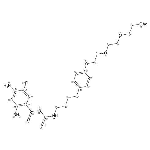 CC(=O)OCCOCCOCCOc1ccc(CCCCNC(=N)NC(=O)c2nc(Cl)c(N)nc2N)cc1